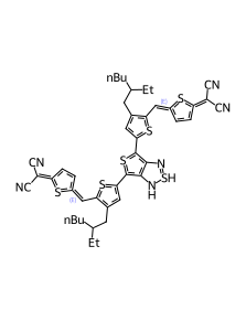 CCCCC(CC)Cc1cc(-c2sc(-c3cc(CC(CC)CCCC)c(/C=c4\ccc(=C(C#N)C#N)s4)s3)c3c2N=[SH]N3)sc1/C=c1\ccc(=C(C#N)C#N)s1